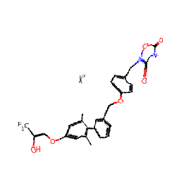 Cc1cc(OCC(O)C(F)(F)F)cc(C)c1-c1cccc(COc2ccc(Cn3oc(=O)[n-]c3=O)cc2)c1.[K+]